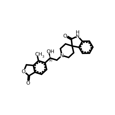 Cc1c([C@@H](O)CN2CCC3(CC2)C(=O)Nc2ccccc23)ccc2c1COC2=O